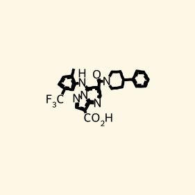 Cc1ccc(C(F)(F)F)cc1Nc1c(C(=O)N2CCC(c3ccccc3)CC2)cnc2c(C(=O)O)cnn12